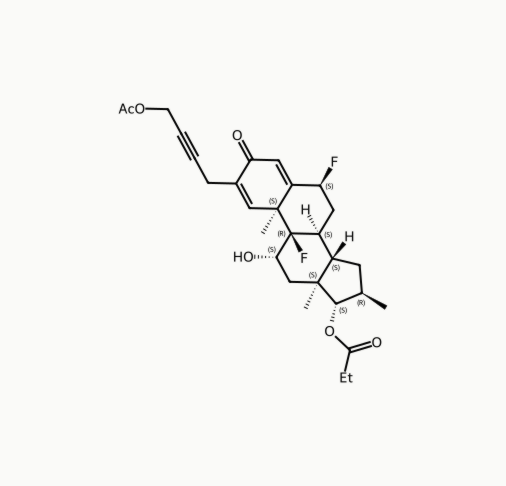 CCC(=O)O[C@H]1[C@H](C)C[C@H]2[C@@H]3C[C@H](F)C4=CC(=O)C(CC#CCOC(C)=O)=C[C@]4(C)[C@@]3(F)[C@@H](O)C[C@@]21C